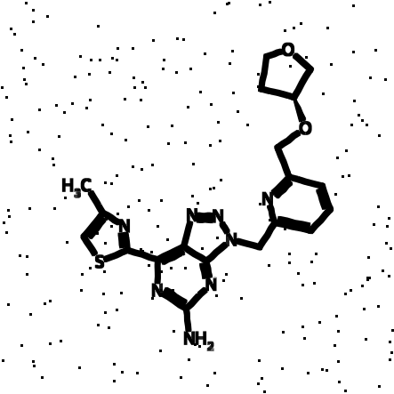 Cc1csc(-c2nc(N)nc3c2nnn3Cc2cccc(CO[C@H]3CCOC3)n2)n1